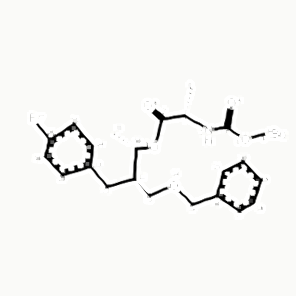 C[C@H](NC(=O)OC(C)(C)C)C(=O)O[C@@H](C)[C@@H](COCc1ccccc1)Cc1ccc(F)cc1